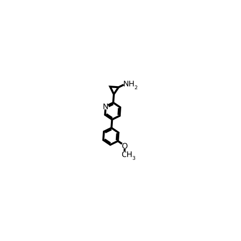 COc1cccc(-c2ccc(C3CC3N)nc2)c1